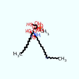 CCCCCCCC/C=C\CCCCCCCCCCCCCC(=O)NC(CO[C@@H]1OC(CO)[C@H](O)C(OS(=O)(=O)OC)C1O)C(O)/C=C/CCCCCCCCCCCCC